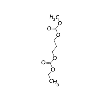 CCOC(=O)OCCCOC(=O)OC